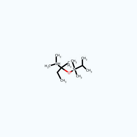 CCC(C)(O[Si](C)(C)C(C)C)[SiH](C)C